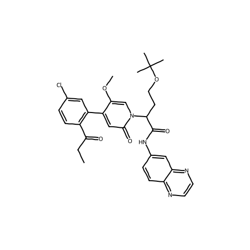 CCC(=O)c1ccc(Cl)cc1-c1cc(=O)n(C(CCOC(C)(C)C)C(=O)Nc2ccc3nccnc3c2)cc1OC